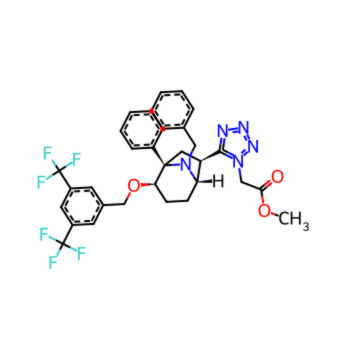 COC(=O)Cn1nnnc1[C@@H]1C[C@@]2(c3ccccc3)[C@H](OCc3cc(C(F)(F)F)cc(C(F)(F)F)c3)CC[C@@H]1N2Cc1ccccc1